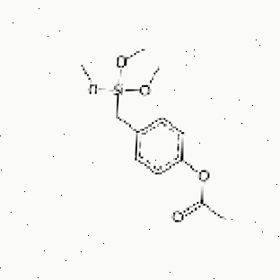 CO[Si](Cc1ccc(OC(C)=O)cc1)(OC)OC